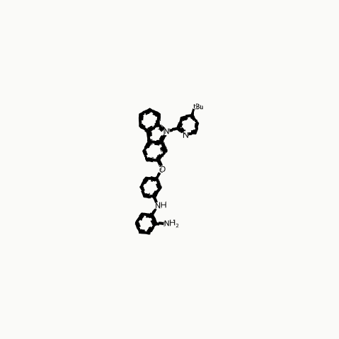 CC(C)(C)c1ccnc(-n2c3ccccc3c3ccc(Oc4cccc(Nc5ccccc5N)c4)cc32)c1